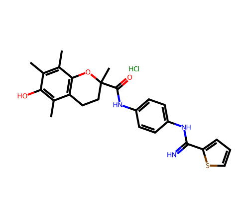 Cc1c(C)c2c(c(C)c1O)CCC(C)(C(=O)Nc1ccc(NC(=N)c3cccs3)cc1)O2.Cl